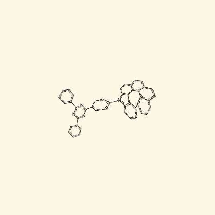 c1ccc(-c2nc(-c3ccccc3)nc(-c3ccc(-n4c5cccc6c5c5c7c(ccc8ccc9cccc-6c9c87)ccc54)cc3)n2)cc1